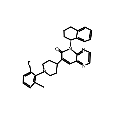 Cc1cccc(F)c1N1CCC(c2cc3nccnc3n([C@H]3CCCc4ccccc43)c2=O)CC1